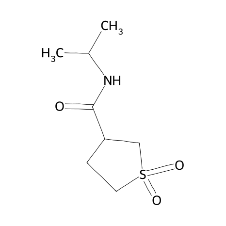 CC(C)NC(=O)C1CCS(=O)(=O)C1